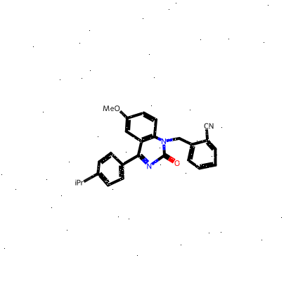 COc1ccc2c(c1)c(-c1ccc(C(C)C)cc1)nc(=O)n2Cc1ccccc1C#N